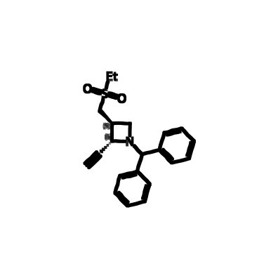 C#C[C@@H]1[C@@H](CS(=O)(=O)CC)CN1C(c1ccccc1)c1ccccc1